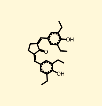 CCc1cc(C=C2CCC(=Cc3cc(CC)c(O)c(CC)c3)C2=O)cc(CC)c1O